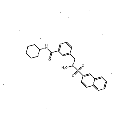 CN(Cc1cccc(C(=O)NC2CCCCC2)c1)S(=O)(=O)c1ccc2ccccc2c1